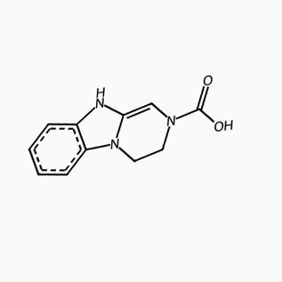 O=C(O)N1C=C2Nc3ccccc3N2CC1